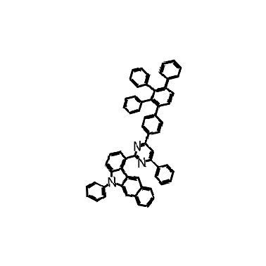 c1ccc(-c2cc(-c3ccc(-c4ccc(-c5ccccc5)c(-c5ccccc5)c4-c4ccccc4)cc3)nc(-c3cccc4c3c3cc5ccccc5cc3n4-c3ccccc3)n2)cc1